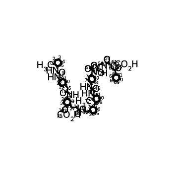 Cc1ccccc1NC(=O)Nc1ccc(CC(=O)Nc2ccc(OCC(=O)O)c(CCC(=O)OCc3cccc(-c4cccc(NC(=O)Nc5ccc(N6C(=O)O[C@@H](CNC(=O)[C@H](CC(=O)O)CC(=O)c7ccccc7)C6=O)cc5)c4C)c3)c2)cc1